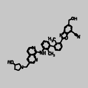 Cc1c(Nc2nccc3cc(CN4CCC(O)C4)cnc23)cccc1-c1cccc(-c2nc3cc(CO)cc(C#N)c3o2)c1C